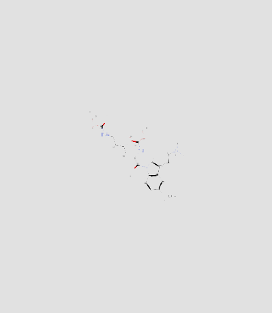 COc1ccc2c(c1)c(CCN(C)C)cn2C(=O)[C@H](CCCCNC(=O)OC(C)(C)C)NC(=O)OC(C)(C)C